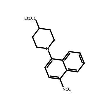 CCOC(=O)C1CCN(c2ccc([N+](=O)[O-])c3ccccc23)CC1